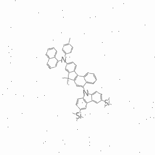 Cc1ccc(N(c2ccc3c(c2)C(C)(C)c2cc(-n4c5ccc([Si](C)(C)C)cc5c5cc([Si](C)(C)C)ccc54)c4ccccc4c2-3)c2cccc3ccccc23)cc1